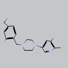 N#Cc1ncc(N2CCN(Cc3ccc(CO)cc3F)CC2)cc1C(F)(F)F